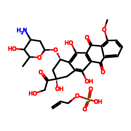 C=CCOS(=O)(=O)O.COc1cccc2c1C(=O)c1c(O)c3c(c(O)c1C2=O)C[C@@](O)(C(=O)CO)C[C@@H]3OC1CC(N)C(O)C(C)O1